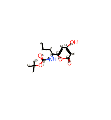 CCC[C@H](NC(=O)OC(C)(C)C)c1cc(O)cc(=O)o1